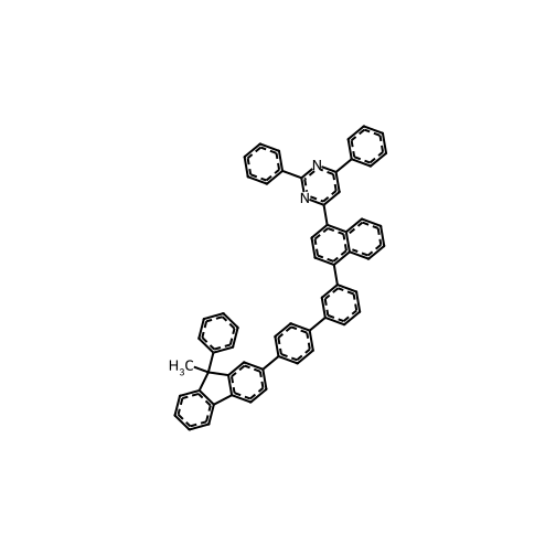 CC1(c2ccccc2)c2ccccc2-c2ccc(-c3ccc(-c4cccc(-c5ccc(-c6cc(-c7ccccc7)nc(-c7ccccc7)n6)c6ccccc56)c4)cc3)cc21